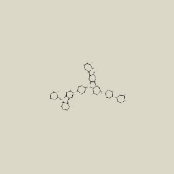 c1ccc(-c2ccc(-c3ccc4c(c3)c3cc5oc6ccccc6c5cc3n4-c3ccc(-c4ccc5c(c4)c4ccccc4n5-c4ccccc4)cc3)cc2)cc1